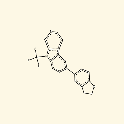 FC(F)(F)n1c2ccc(-c3ccc4c(c3)CCO4)cc2c2ccncc21